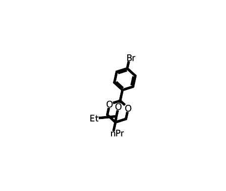 CCCC12COC(c3ccc(Br)cc3)(OC1)OC2CC